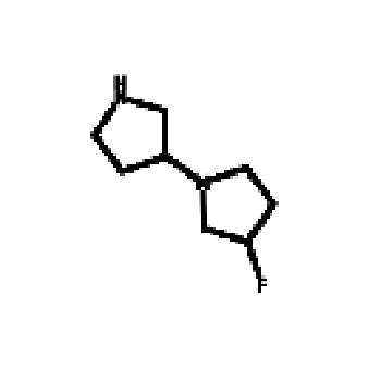 FC1CCN(C2CCNC2)C1